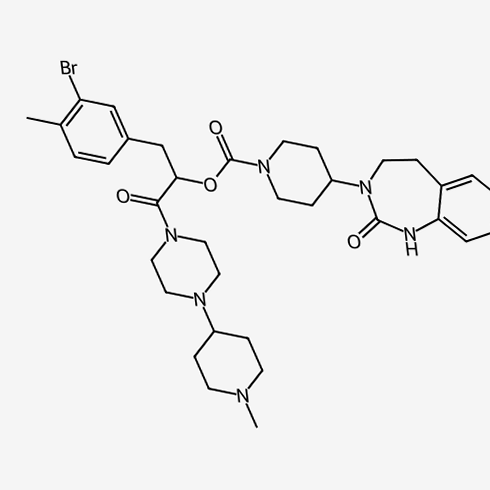 Cc1ccc(CC(OC(=O)N2CCC(N3CCc4ccccc4NC3=O)CC2)C(=O)N2CCN(C3CCN(C)CC3)CC2)cc1Br